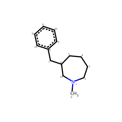 CN1CCCCC(Cc2ccccc2)C1